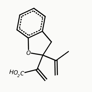 C=C(C)C1(C(=C)C(=O)O)Cc2ccccc2O1